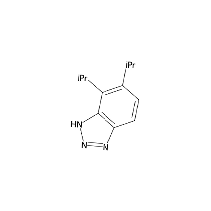 CC(C)c1ccc2nn[nH]c2c1C(C)C